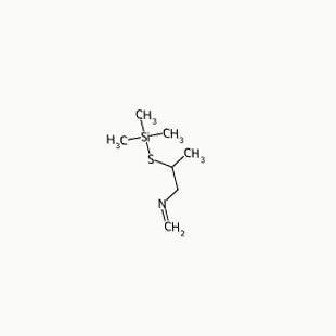 C=NCC(C)S[Si](C)(C)C